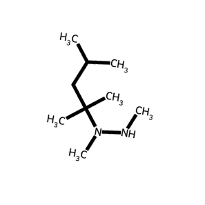 CNN(C)C(C)(C)CC(C)C